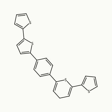 C1=C(c2ccc(-c3ccc(-c4cccs4)s3)cc2)SC(c2cccs2)=CC1